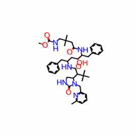 COC(=O)NCC(C)(C)CC(=O)NC(Cc1ccccc1)C(O)CC(Cc1ccccc1)NC(=O)C(C1CNC(=O)N1Cc1cccc(C)n1)C(C)(C)C